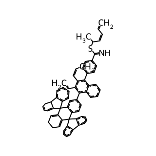 C=C/C=C\C(C)SC(=N)c1ccc(-c2c(/C=C\C)c(C=C)c(-c3ccc4c(c3)C3(C5=CCCC=C5C45c4ccccc4-c4ccccc45)C4=CC=CCC4c4ccccc43)c3ccccc23)cc1